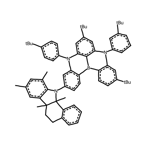 Cc1cc(C)c2c(c1)C1(C)CCc3ccccc3C1(C)N2c1ccc2c(c1)N(c1ccc(C(C)(C)C)cc1)c1cc(C(C)(C)C)cc3c1B2c1ccc(C(C)(C)C)cc1N3c1cccc(C(C)(C)C)c1